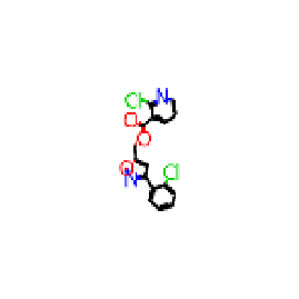 O=C(OCc1cc(-c2ccccc2Cl)no1)c1cccnc1Cl